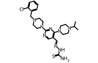 CC(C)N1CCN(c2nc(N3CCN(Cc4ccccc4Cl)CC3)ncc2/C=N/NC(N)=S)CC1